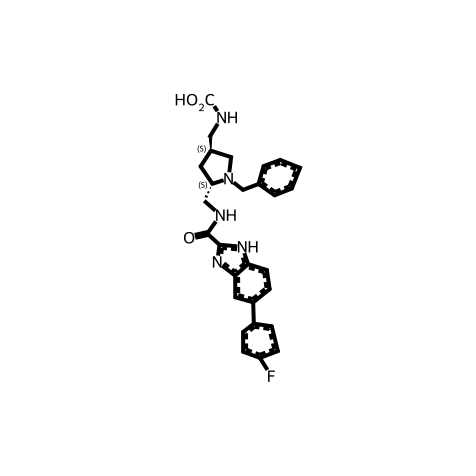 O=C(O)NC[C@@H]1C[C@@H](CNC(=O)c2nc3cc(-c4ccc(F)cc4)ccc3[nH]2)N(Cc2ccccc2)C1